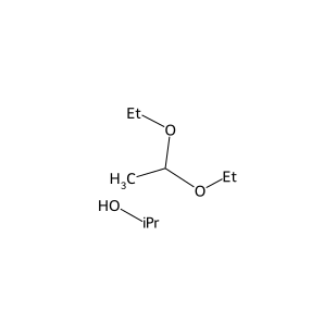 CC(C)O.CCOC(C)OCC